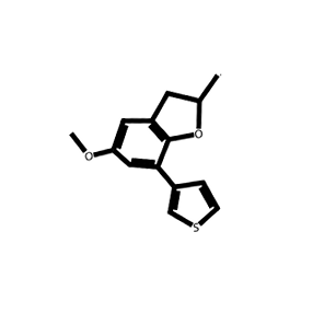 [CH2]C1Cc2cc(OC)cc(-c3ccsc3)c2O1